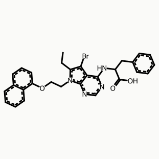 CCc1c(Br)c2c(NC(Cc3ccccc3)C(=O)O)ncnc2n1CCOc1cccc2ccccc12